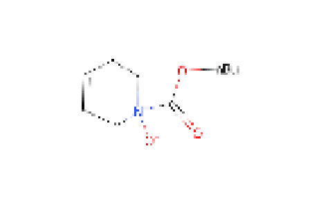 CCCCOC(=O)[N+]1([O-])CC=CCC1